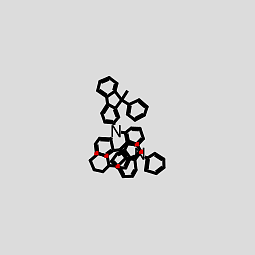 CC1(c2ccccc2)c2ccccc2-c2ccc(N(c3ccccc3-c3cccc4cccc(C5CCCCC5)c34)c3cccc4c3c3ccccc3n4-c3ccccc3)cc21